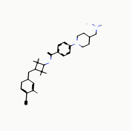 C#CC1=CCC(CC2C(C)(C)C(NC(=C)c3ccc(N4CCC(CN(CCC)CCC)CC4)cc3)C2(C)C)C=C1CC